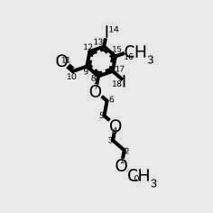 COCCOCCOc1c(C=O)cc(I)c(C)c1I